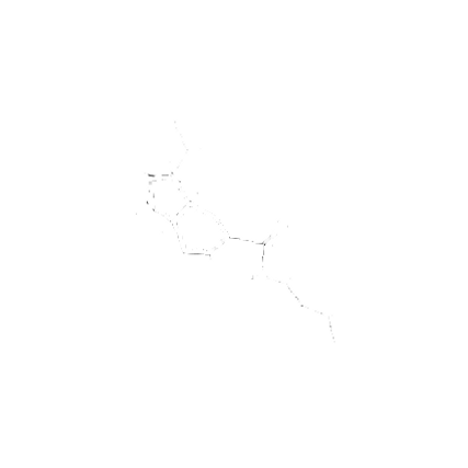 CCCCOC(=O)c1ccc2ncn(CC)c2c1